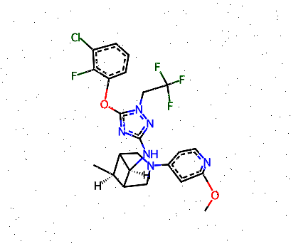 COc1cc(N2CC3[C@H](C)C(C2)[C@@H]3Nc2nc(Oc3cccc(Cl)c3F)n(CC(F)(F)F)n2)ccn1